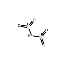 O=[SH](=O)P[SH](=O)=O